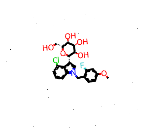 COc1ccc(Cn2cc([C@@H]3O[C@H](CO)[C@@H](O)[C@H](O)[C@H]3O)c3c(Cl)cccc32)c(F)c1